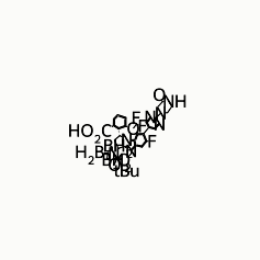 BC(B)(B)N(C(=O)OC(C)(C)C)[C@@H]1C[C@H](c2c(OC(F)F)cccc2C(=O)O)n2c1nc1cc(F)c(-c3cnc(N4CCNC(=O)C4)nc3)cc12